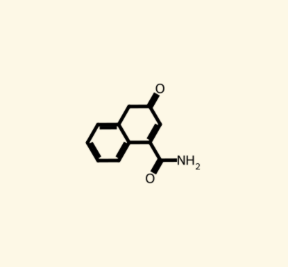 NC(=O)C1=CC(=O)Cc2ccccc21